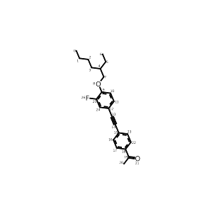 CCCCC(CC)COc1ccc(C#Cc2ccc(C(C)=O)cc2)cc1F